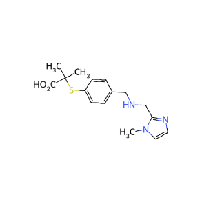 Cn1ccnc1CNCc1ccc(SC(C)(C)C(=O)O)cc1